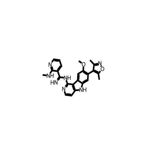 CNc1ncccc1C(=N)Nc1nccc2[nH]c3cc(-c4c(C)noc4C)c(OC)cc3c12